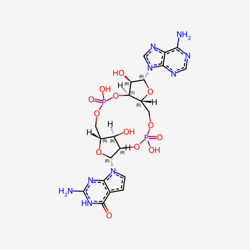 Nc1nc2c(ccn2[C@@H]2O[C@@H]3COP(=O)(O)O[C@H]4[C@@H](O)[C@H](n5cnc6c(N)ncnc65)O[C@@H]4COP(=O)(O)O[C@@H]2[C@@H]3O)c(=O)[nH]1